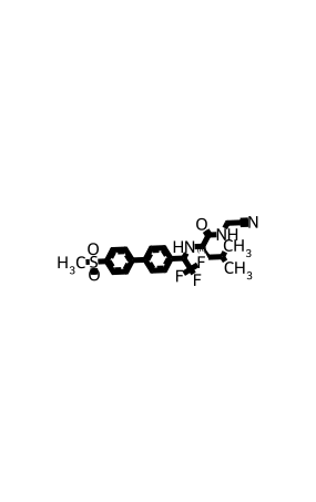 CC(C)C[C@@H](NC(c1ccc(-c2ccc(S(C)(=O)=O)cc2)cc1)C(F)(F)F)C(=O)NCC#N